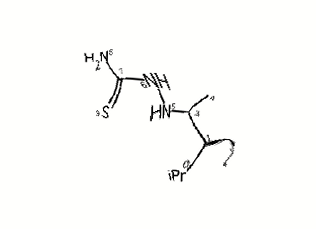 CC(C)C(C)C(C)NNC(N)=S